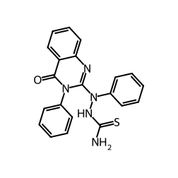 NC(=S)NN(c1ccccc1)c1nc2ccccc2c(=O)n1-c1ccccc1